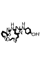 COCCN(C)Cc1cc(Nc2nc3cccnc3s2)nc(NC2CCC(O)CC2)n1